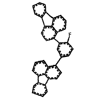 Fc1ccc(-c2ccc3c4c(cccc24)-c2ccccc2-3)cc1-c1ccc2c3c(cccc13)-c1ccccc1-2